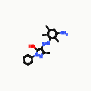 Cc1cc(N)c(C)c(N=Nc2c(C)nn(-c3ccccc3)c2O)c1C